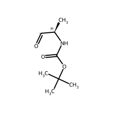 C[C@H]([C]=O)NC(=O)OC(C)(C)C